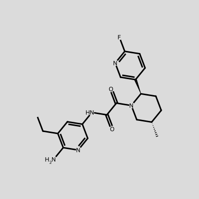 CCc1cc(NC(=O)C(=O)N2C[C@@H](C)CC[C@@H]2c2ccc(F)nc2)cnc1N